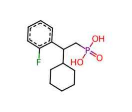 O=P(O)(O)CC(c1ccccc1F)C1CCCCC1